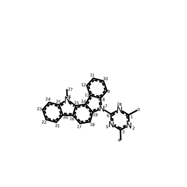 Cc1nc(C)nc(-n2c3ccccc3c3c4c(ccc32)c2ccccc2n4C)n1